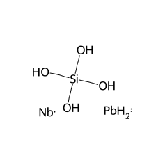 O[Si](O)(O)O.[Nb].[PbH2]